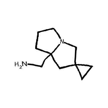 NCC12CCCN1CC1(CC1)C2